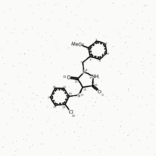 COc1ccccc1CN1NC(=O)C(Sc2ccccc2Cl)C1=O